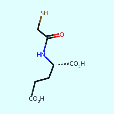 O=C(O)CC[C@H](NC(=O)CS)C(=O)O